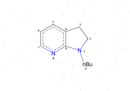 CCCCN1[CH]Cc2cccnc21